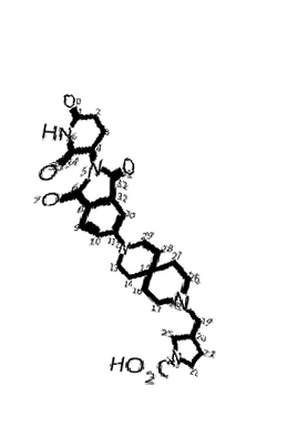 O=C1CCC(N2C(=O)c3ccc(N4CCC5(CCN(CC6CCN(C(=O)O)C6)CC5)CC4)cc3C2=O)C(=O)N1